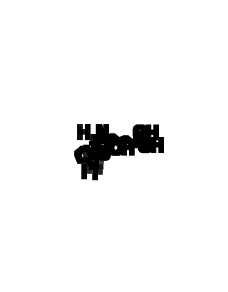 NC(CCCCB(O)O)(CCN1CCC[C@@H]1C(F)(F)F)C(=O)O